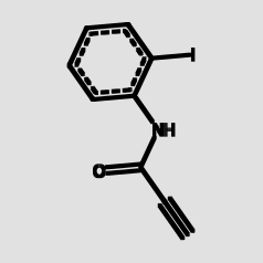 C#CC(=O)Nc1ccccc1I